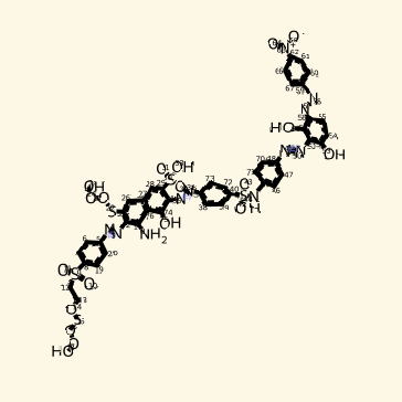 Nc1c(/N=N/c2ccc(S(=O)(=O)CCOSOOO)cc2)c(SOOO)cc2cc(S(=O)(=O)O)c(/N=N/c3ccc(S(=O)(=O)Nc4ccc(/N=N/c5c(O)ccc(N=Nc6ccc([N+](=O)[O-])cc6)c5O)cc4)cc3)c(O)c12